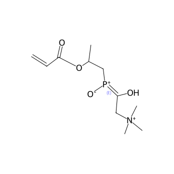 C=CC(=O)OC(C)C/[P+]([O-])=C(\O)C[N+](C)(C)C